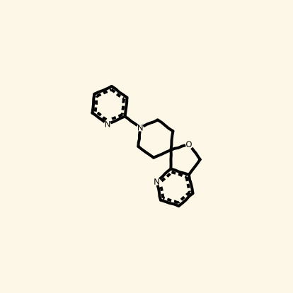 c1ccc(N2CCC3(CC2)OCc2cccnc23)nc1